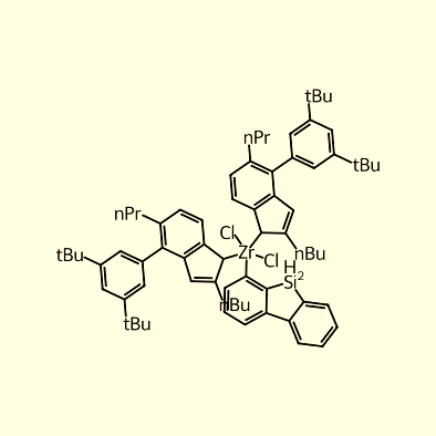 CCCCC1=Cc2c(ccc(CCC)c2-c2cc(C(C)(C)C)cc(C(C)(C)C)c2)[CH]1[Zr]([Cl])([Cl])([c]1cccc2c1[SiH2]c1ccccc1-2)[CH]1C(CCCC)=Cc2c1ccc(CCC)c2-c1cc(C(C)(C)C)cc(C(C)(C)C)c1